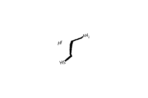 I.NCCS